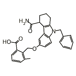 Cc1cccc(C(=O)O)c1COc1ccc2c(c1)c1c(n2Cc2ccccc2)CCCC1C(N)=O